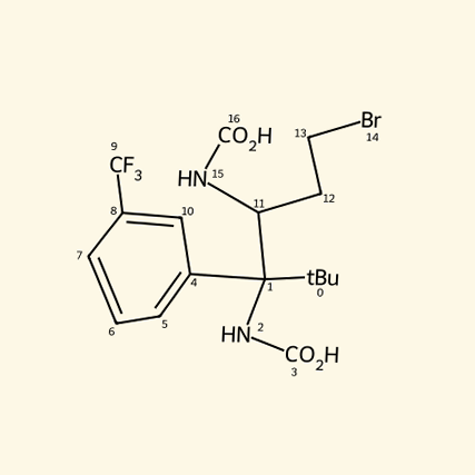 CC(C)(C)C(NC(=O)O)(c1cccc(C(F)(F)F)c1)C(CCBr)NC(=O)O